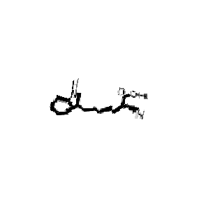 N#CC(=CC=CC=Cc1c[nH]c2ccccc12)C(=O)O